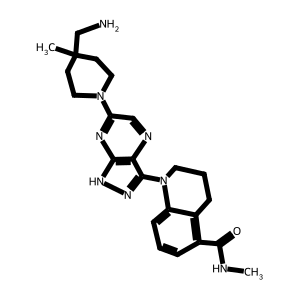 CNC(=O)c1cccc2c1CCCN2c1n[nH]c2nc(N3CCC(C)(CN)CC3)cnc12